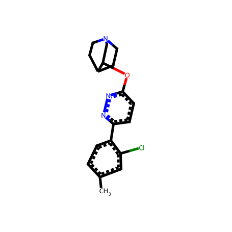 Cc1ccc(-c2ccc(OC3CN4CCC3CC4)nn2)c(Cl)c1